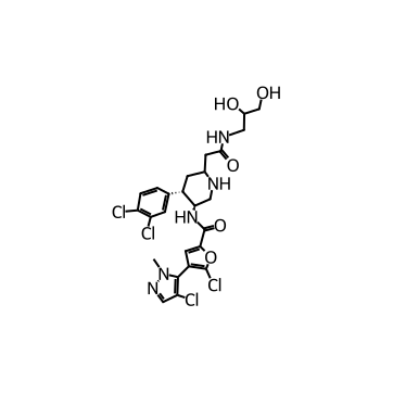 Cn1ncc(Cl)c1-c1cc(C(=O)N[C@@H]2CNC(CC(=O)NCC(O)CO)C[C@H]2c2ccc(Cl)c(Cl)c2)oc1Cl